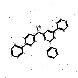 CN(C1=C[C@@H](c2ccccc2)CC(c2ccccc2)=C1)c1ccc(-c2ccccc2)cc1